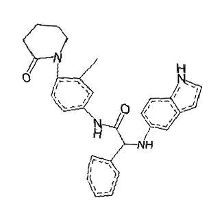 Cc1cc(NC(=O)C(Nc2ccc3[nH]ccc3c2)c2ccccc2)ccc1N1CCCCC1=O